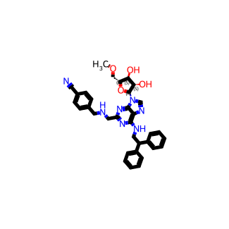 COC[C@H]1O[C@@H](n2cnc3c(NCC(c4ccccc4)c4ccccc4)nc(CNCc4ccc(C#N)cc4)nc32)[C@@H](O)[C@@H]1O